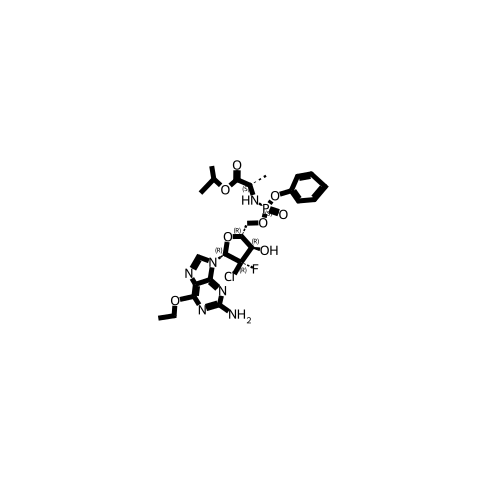 CCOc1nc(N)nc2c1ncn2[C@@H]1O[C@H](CO[P@@](=O)(N[C@@H](C)C(=O)OC(C)C)Oc2ccccc2)[C@@H](O)[C@@]1(F)Cl